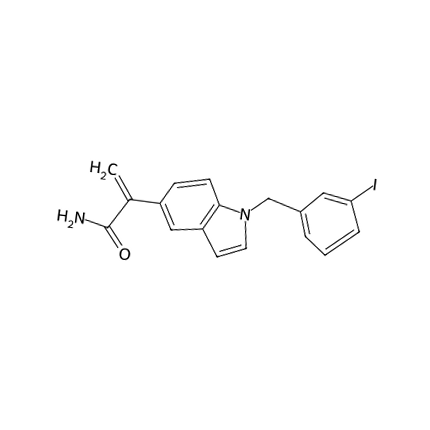 C=C(C(N)=O)c1ccc2c(ccn2Cc2cccc(I)c2)c1